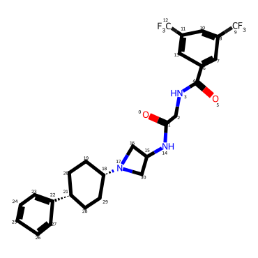 O=C(CNC(=O)c1cc(C(F)(F)F)cc(C(F)(F)F)c1)NC1CN([C@H]2CC[C@@H](c3ccccc3)CC2)C1